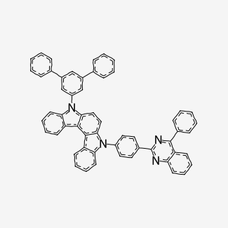 c1ccc(-c2cc(-c3ccccc3)cc(-n3c4ccccc4c4c5c6ccccc6n(-c6ccc(-c7nc(-c8ccccc8)c8ccccc8n7)cc6)c5ccc43)c2)cc1